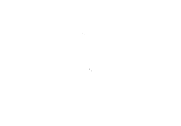 Cc1cc(NCC(C)O)c2ccccc2n1